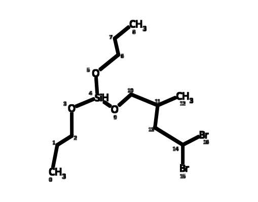 CCCO[SiH](OCCC)OCC(C)CC(Br)Br